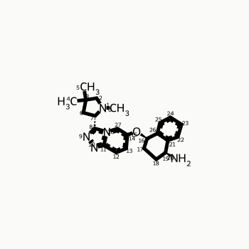 CN1CC(C)(C)C[C@H]1c1nnc2ccc(O[C@@H]3CC[C@H](N)c4ccccc43)cn12